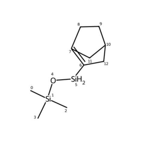 C[Si](C)(C)O[SiH2]C1=C2CCC(C2)C1